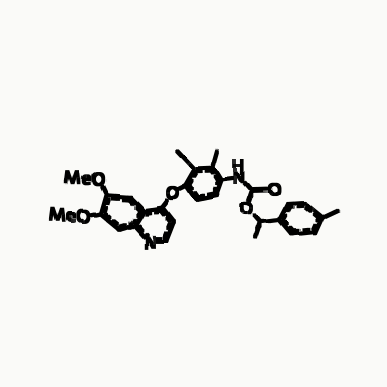 COc1cc2nccc(Oc3ccc(NC(=O)OC(C)c4ccc(C)cc4)c(C)c3C)c2cc1OC